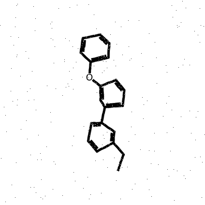 CCc1cccc(-c2cccc(Oc3ccccc3)c2)c1